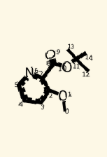 COc1cccnc1C(=O)OC(C)(C)C